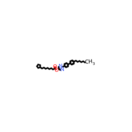 CCCCCCCc1ccc(-c2ccc(-c3ncc(OC(=O)CCCCCCCC4CCCC4)cn3)cc2)cc1